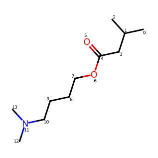 CC(C)CC(=O)OCCCCN(C)C